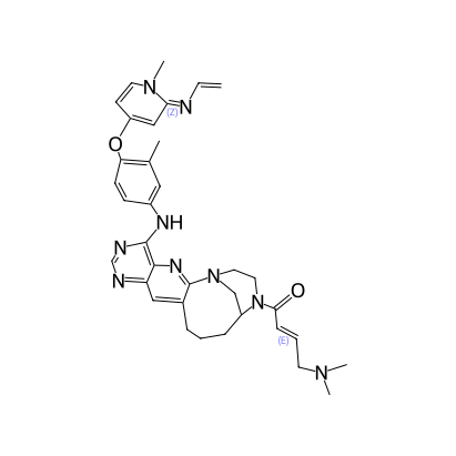 C=C/N=c1/cc(Oc2ccc(Nc3ncnc4cc5c(nc34)N3CCN(C(=O)/C=C/CN(C)C)C(CCC5)C3)cc2C)ccn1C